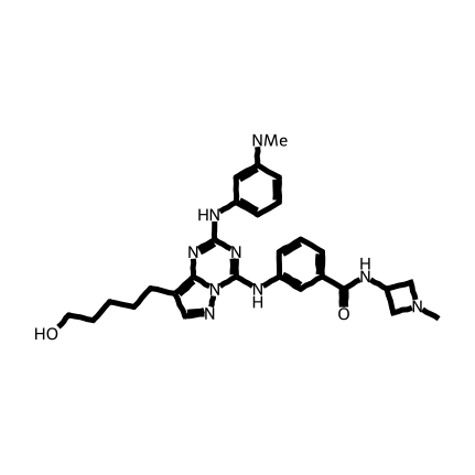 CNc1cccc(Nc2nc(Nc3cccc(C(=O)NC4CN(C)C4)c3)n3ncc(CCCCCO)c3n2)c1